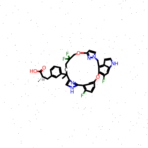 C[C@@H](Cc1cccc(C2(C)CCC(F)(F)COc3ccn(n3)Cc3c(c(F)cc4[nH]ccc34)Oc3ccc(F)c(c3)-c3nc2c[nH]3)c1)C(=O)O